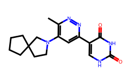 Cc1nnc(-c2c[nH]c(=O)[nH]c2=O)cc1N1CCC2(CCCC2)C1